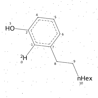 [2H]c1c(O)cccc1CCCCCCCC